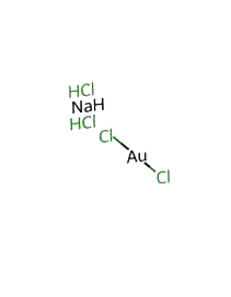 Cl.Cl.[Cl][Au][Cl].[NaH]